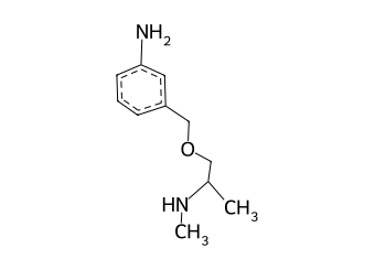 CNC(C)COCc1cccc(N)c1